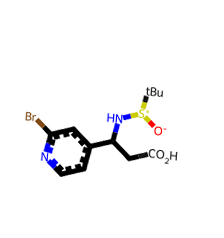 CC(C)(C)[S+]([O-])NC(CC(=O)O)c1ccnc(Br)c1